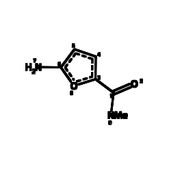 CNC(=O)c1ccc(N)o1